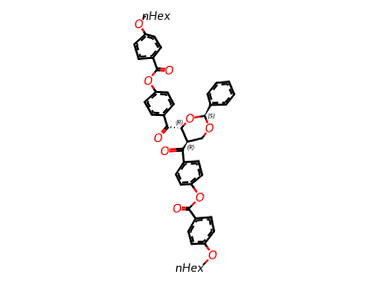 CCCCCCOc1ccc(C(=O)Oc2ccc(C(=O)[C@@H]3CO[C@H](c4ccccc4)O[C@H]3C(=O)c3ccc(OC(=O)c4ccc(OCCCCCC)cc4)cc3)cc2)cc1